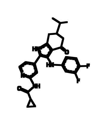 CC(C)C1CC(=O)c2c([nH]c(-c3ccnc(NC(=O)C4CC4)c3)c2Nc2ccc(F)c(F)c2)C1